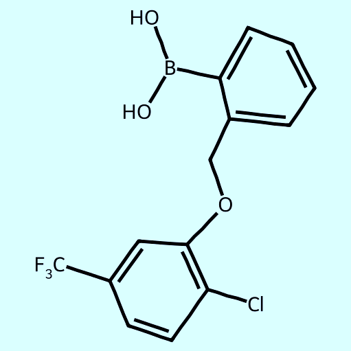 OB(O)c1ccccc1COc1cc(C(F)(F)F)ccc1Cl